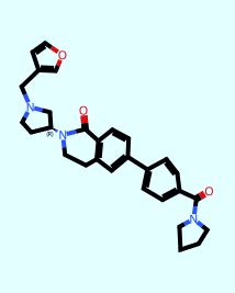 O=C(c1ccc(-c2ccc3c(c2)CCN([C@@H]2CCN(Cc4ccoc4)C2)C3=O)cc1)N1CCCC1